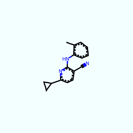 Cc1ccccc1Nc1nc(C2CC2)ccc1C#N